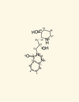 O=c1c2ccccc2ncn1C[C@@H](O)C[C@H]1NCCC[C@@H]1O